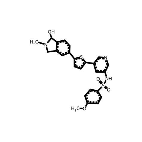 COc1ccc(S(=O)(=O)Nc2cncc(-c3ccc(-c4ccc5c(c4)CN(C)C5O)s3)c2)cc1